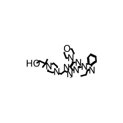 CCc1nc2ccccc2n1-c1nc(N2CCOCC2)c2nc(CN3CCN(C(C)(C)CO)CC3)n(C)c2n1